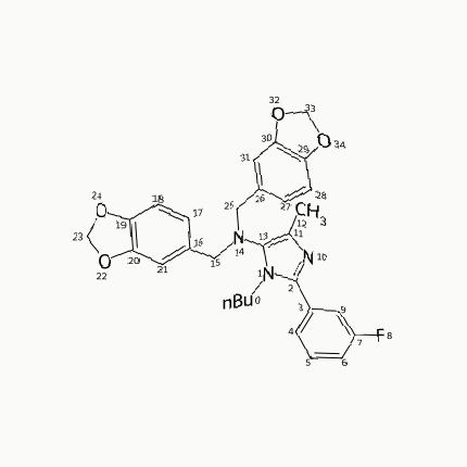 CCCCn1c(-c2cccc(F)c2)nc(C)c1N(Cc1ccc2c(c1)OCO2)Cc1ccc2c(c1)OCO2